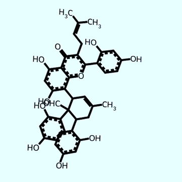 CC(C)=CCc1c(-c2ccc(O)cc2O)oc2c(C3C=C(C)CC(c4ccc(O)cc4O)C3(C=O)c3ccc(O)cc3O)c(O)cc(O)c2c1=O